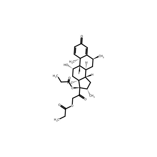 CCC(=O)OCC(=O)[C@@]1(OC(=O)CC)[C@@H](C)C[C@H]2[C@@H]3C[C@H](C)C4=CC(=O)C=C[C@]4(C)[C@@]3(F)[C@@H](O)C[C@@]21C